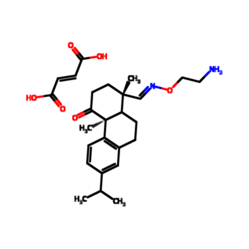 CC(C)c1ccc2c(c1)CCC1[C@@](C)(/C=N/OCCN)CCC(=O)[C@]21C.O=C(O)/C=C/C(=O)O